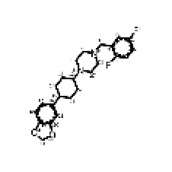 Fc1ccc(F)c(CN2CCN(C3CCC(c4ccc5c(c4)OCO5)CC3)CC2)c1